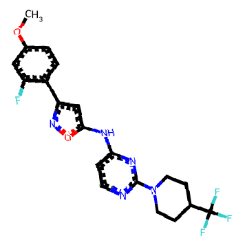 COc1ccc(-c2cc(Nc3ccnc(N4CCC(C(F)(F)F)CC4)n3)on2)c(F)c1